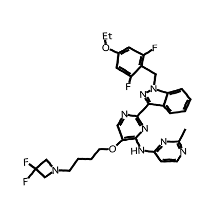 CCOc1cc(F)c(Cn2nc(-c3ncc(OCCCCN4CC(F)(F)C4)c(Nc4ccnc(C)n4)n3)c3ccccc32)c(F)c1